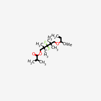 C=CC(OC)OCC(C)(C)C(F)(F)C(C)(C)COC(=O)C(=C)C